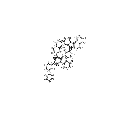 c1ccc(-c2cccc(-c3nc(-c4ccc5ccccc5c4)nc(-c4cccc5sc6cc(-n7c8ccccc8c8c9ccccc9ccc87)ccc6c45)n3)c2)cc1